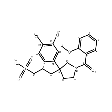 COc1ccccc1C(=O)N1CCC(CCCS(=O)(=O)O)(c2ccc(Cl)c(Cl)c2)C1